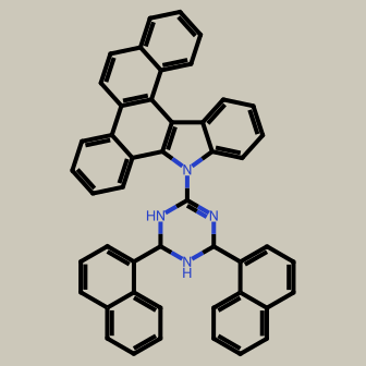 c1ccc2c(C3N=C(n4c5ccccc5c5c6c7ccccc7ccc6c6ccccc6c54)NC(c4cccc5ccccc45)N3)cccc2c1